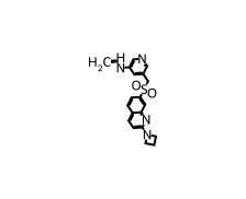 C=CNc1cncc(CS(=O)(=O)c2ccc3ccc(N4CCC4)nc3c2)c1